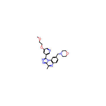 COCCOc1cncc(-c2nnc3c(C)nc4ccc(CN5CCOCC5)cc4n23)c1